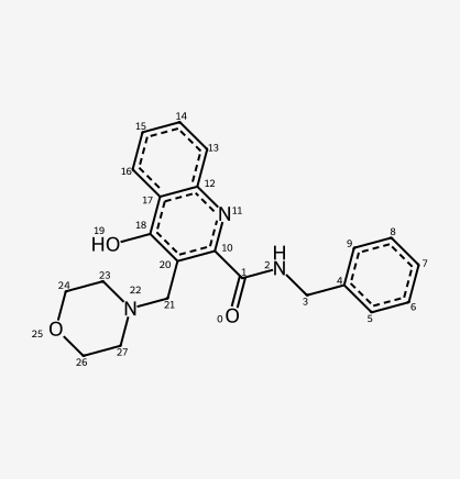 O=C(NCc1ccccc1)c1nc2ccccc2c(O)c1CN1CCOCC1